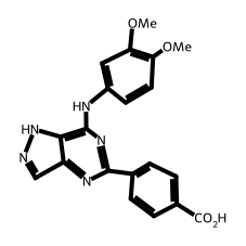 COc1ccc(Nc2nc(-c3ccc(C(=O)O)cc3)nc3cn[nH]c23)cc1OC